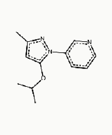 Cc1cc(OC(C)C)n(-c2cccnc2)n1